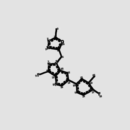 Cc1nnc(Cn2nc(F)c3ncc(-c4ccc(F)c(C)c4)cc32)o1